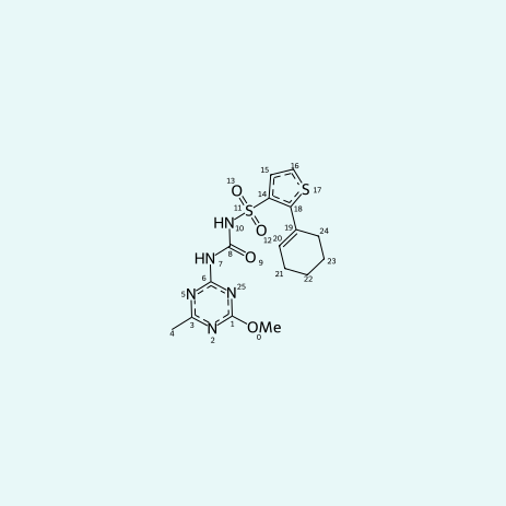 COc1nc(C)nc(NC(=O)NS(=O)(=O)c2ccsc2C2=CCCCC2)n1